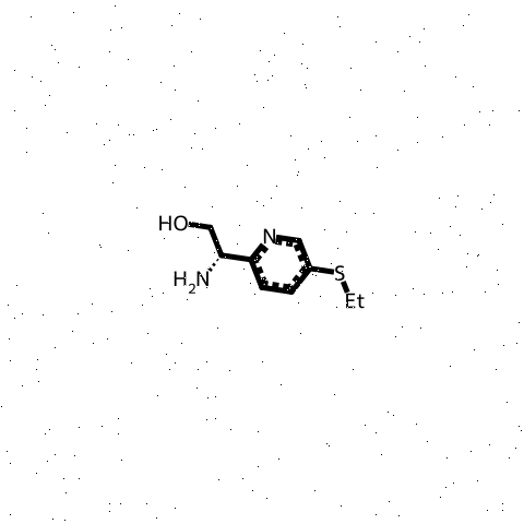 CCSc1ccc([C@H](N)CO)nc1